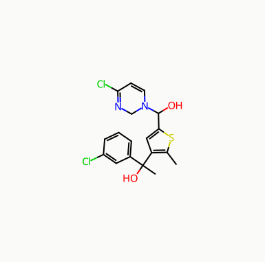 Cc1sc(C(O)N2C=CC(Cl)=NC2)cc1C(C)(O)c1cccc(Cl)c1